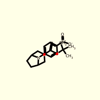 CC(C)(C)OC(=O)N1CC2CCC(C1)N2c1ccc([N+](=O)[O-])cc1